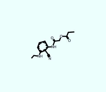 CCNc1cccc(NC(=O)COC(=O)CC)c1C#N